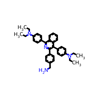 CCN(CC)c1ccc(-c2nc(-c3ccc(CN)cc3)c(-c3ccc(N(CC)CC)cc3)c3ccccc23)cc1